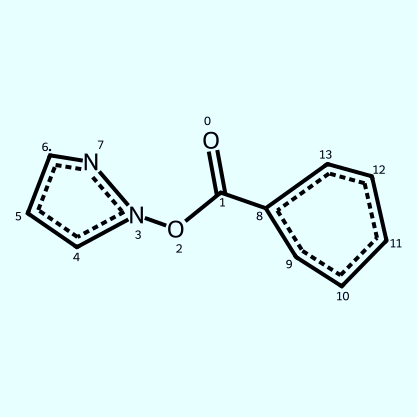 O=C(On1cc[c]n1)c1ccccc1